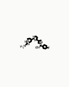 CC(C)(C)C(c1ccc(F)cc1)n1cc(-c2ccnc(-c3ccn4nc(N)nc4c3)n2)cn1